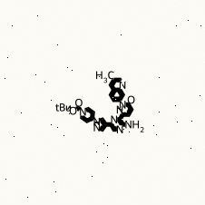 Cc1cnc2cc(-n3nc(-c4nc(-c5cnn(C6CCN(C(=O)OC(C)(C)C)CC6)c5)cnc4N)ccc3=O)ccc2c1